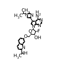 CNc1ccc2ccc(OC[C@H]3O[C@@H](n4cc(-c5cn(C(C)C)cn5)c5c(N)ncnc54)[C@@H](F)[C@@H]3O)cc2n1